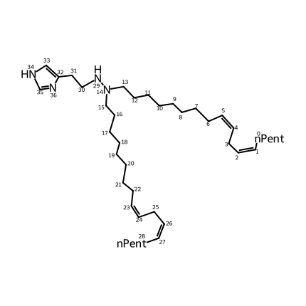 CCCCC/C=C\C/C=C\CCCCCCCCN(CCCCCCCC/C=C\C/C=C\CCCCC)NCCc1c[nH]cn1